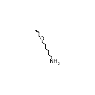 C=CCOCCCCCCN